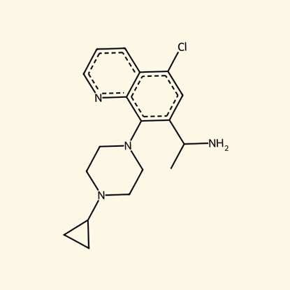 CC(N)c1cc(Cl)c2cccnc2c1N1CCN(C2CC2)CC1